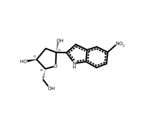 O=[N+]([O-])c1ccc2[nH]c([C@]3(O)C[C@H](O)[C@@H](CO)O3)cc2c1